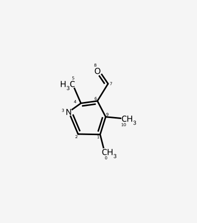 Cc1cnc(C)c(C=O)c1C